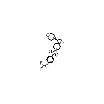 O=S(=O)(c1ccc(OC(F)F)cc1)N1CCC2(CC1)OCC2N1CCOCC1